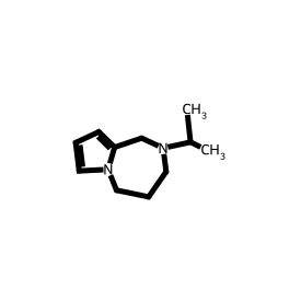 CC(C)N1CCCn2cccc2C1